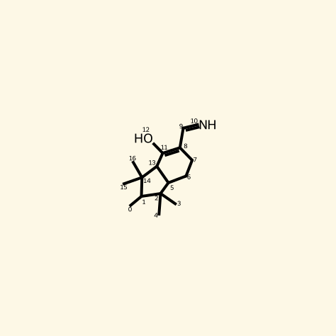 CC1C(C)(C)C2CCC(C=N)=C(O)C2C1(C)C